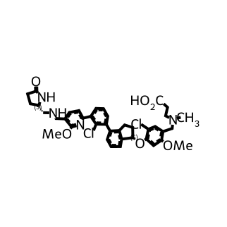 COc1cc(O[C@H]2CCc3c(-c4cccc(-c5ccc(CNC[C@@H]6CCC(=O)N6)c(OC)n5)c4Cl)cccc32)c(Cl)cc1CN(C)CCC(=O)O